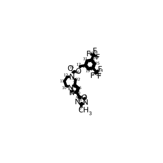 Cc1noc(-c2cc3n(n2)CCCN(C(=O)OCc2cc(C(F)(F)F)cc(C(F)(F)F)c2)C3)n1